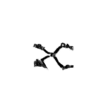 CCC[CH2][Ti]([CH2]CCC)([CH2]CCC)[O]C(C)=O